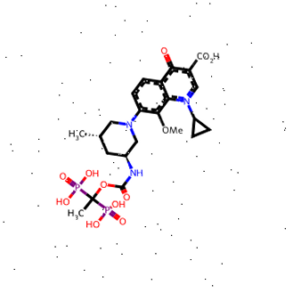 COc1c(N2C[C@@H](C)C[C@H](NC(=O)OC(C)(P(=O)(O)O)P(=O)(O)O)C2)ccc2c(=O)c(C(=O)O)cn(C3CC3)c12